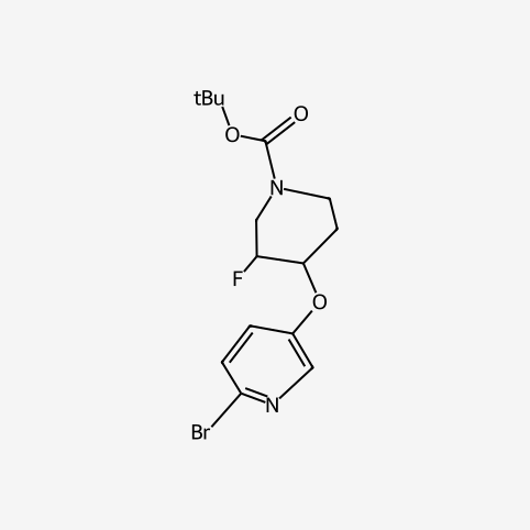 CC(C)(C)OC(=O)N1CCC(Oc2ccc(Br)nc2)C(F)C1